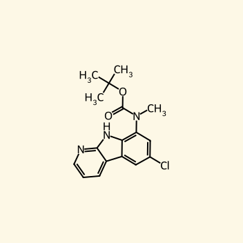 CN(C(=O)OC(C)(C)C)c1cc(Cl)cc2c1[nH]c1ncccc12